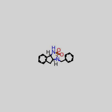 O=S1(=O)N[C@@H]2c3ccccc3C[C@@H]2N1Cc1ccccc1